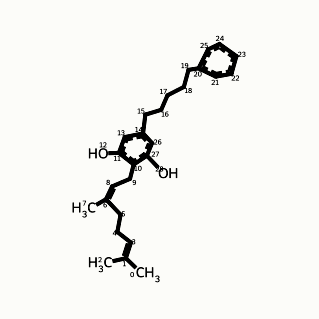 CC(C)=CCCC(C)=CCc1c(O)cc(CCCCCc2ccccc2)cc1O